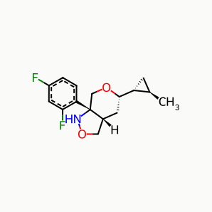 C[C@@H]1C[C@H]1[C@@H]1C[C@@H]2CON[C@]2(c2ccc(F)cc2F)CO1